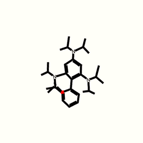 CC(C)N(c1[c]c(N(C(C)C)C(C)C)c(-c2ccccc2P(C)C)c(N(C(C)C)C(C)C)c1)C(C)C